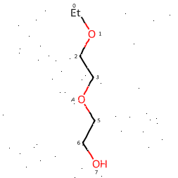 CCOCCOC[CH]O